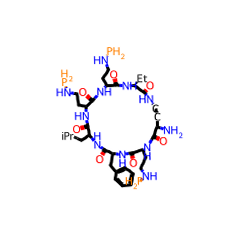 CC[C@@H]1NC(=O)C(CCNP)NC(=O)C(CCNP)NC(=O)C(CC(C)C)NC(=O)C(Cc2ccccc2)NC(=O)C(CCNP)NC(=O)C(N)CCNC1=O